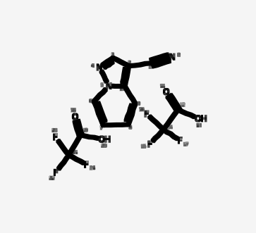 N#Cc1cnn2ccccc12.O=C(O)C(F)(F)F.O=C(O)C(F)(F)F